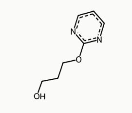 OCCCOc1ncccn1